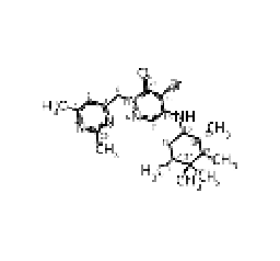 Cc1cc(Cn2ncc(N[C@@H]3C[C@H](C)C(C)(C)[C@H](C)[C@H]3C)c(Br)c2=O)nc(C)n1